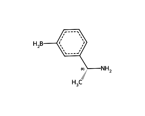 Bc1cccc([C@@H](C)N)c1